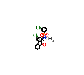 CN(C)P(=O)(Oc1cc2c(cc1Cl)-c1ccccc1C2=O)c1cccc(Cl)c1